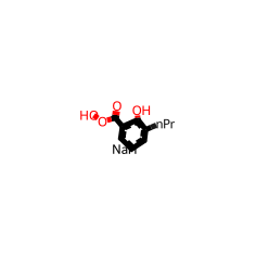 CCCc1cccc(C(=O)OO)c1O.[NaH]